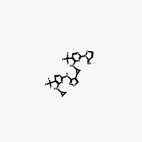 N=c1ccon1-c1ncc(C(F)(F)F)c(NC2CC2c2conc2Nc2ncc(C(F)(F)F)c(NC3CC3)n2)n1